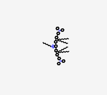 CCCCCCCCn1nc2c(-c3ccc4c(c3)C(CCCCCCCC)(CCCCCCCC)c3cc(-c5ccc(N(c6ccccc6)c6ccccc6)cc5)ccc3-4)ccc(-c3ccc4c(c3)C(CCCCCCCC)(CCCCCCCC)c3cc(-c5ccc(N(c6ccccc6)c6ccccc6)cc5)ccc3-4)c2n1